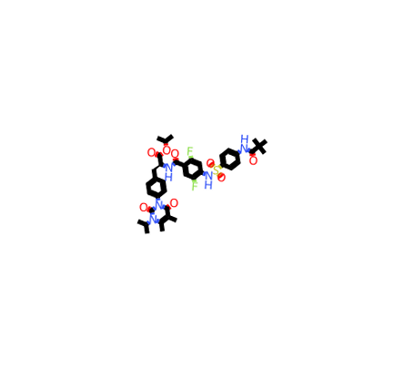 Cc1c(C)n(C(C)C)c(=O)n(-c2ccc(C[C@H](NC(=O)c3cc(F)c(NS(=O)(=O)c4ccc(NC(=O)C(C)(C)C)cc4)cc3F)C(=O)OC(C)C)cc2)c1=O